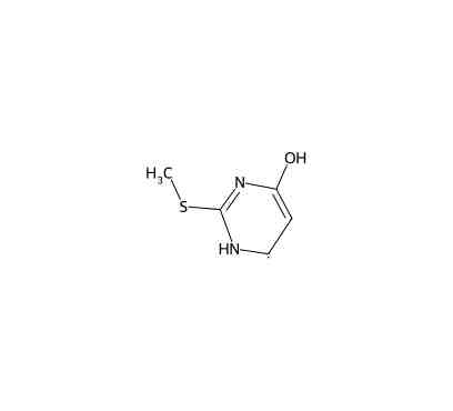 CSC1=NC(O)=C[CH]N1